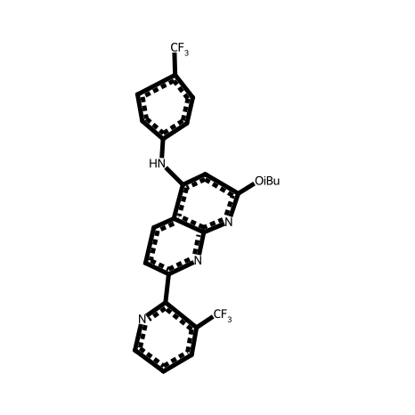 CC(C)COc1cc(Nc2ccc(C(F)(F)F)cc2)c2ccc(-c3ncccc3C(F)(F)F)nc2n1